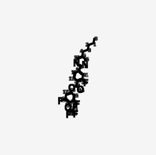 CCCCCc1cnc(-c2ccc(C(=O)Oc3cc(F)c(OC(F)(F)F)c(F)c3)c(F)c2)nc1